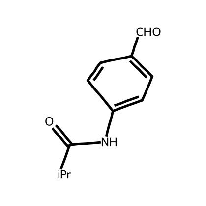 CC(C)C(=O)Nc1ccc(C=O)cc1